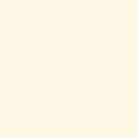 CCN(C)C(=O)c1ccc(-c2cc(C(=O)N3CCCC3)cc3oc(C(F)(F)F)nc23)c2nc(N(C)C)oc12